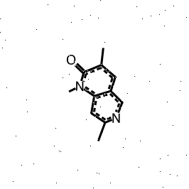 Cc1cc2c(cn1)cc(C)c(=O)n2C